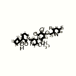 Cc1cnc(-n2cccc(C3(O)CCC3)c2=O)cc1-n1c(C)cc(OCc2ncc(F)cc2F)c(Cl)c1=O